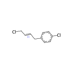 ClC/C=C/Cc1ccc(Cl)cc1